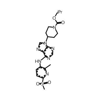 Cc1nc(S(C)(=O)=O)ccc1Nc1ncnc2c1ncn2C1CCN(C(=O)OC(C)C)CC1